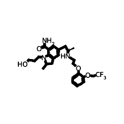 CC1Cc2cc(C[C@@H](C)NCCOc3ccccc3OCC(F)(F)F)cc(C(N)=O)c2N1CCCO